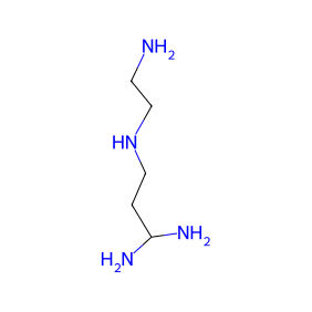 NCCNCCC(N)N